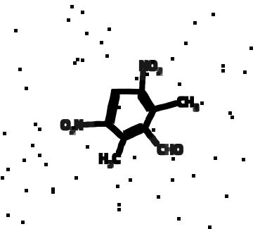 Cc1c([N+](=O)[O-])cc([N+](=O)[O-])c(C)c1C=O